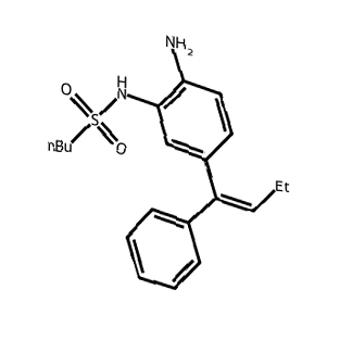 CC/C=C(/c1ccccc1)c1ccc(N)c(NS(=O)(=O)CCCC)c1